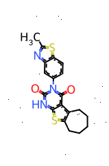 Cc1nc2cc(-n3c(=O)[nH]c4sc5c(c4c3=O)CCCCC5)ccc2s1